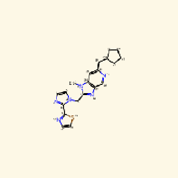 CCn1c(Cn2ccnc2-c2nccs2)nc2cnc(CC3CCCC3)cc21